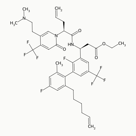 C=CCCCCc1cc(F)cc(C)c1-c1cc(C(F)(F)F)cc([C@H](CC(=O)OCC)NC(=O)[C@H](CC=C)n2cc(CCN(C)C)c(C(F)(F)F)cc2=O)c1F